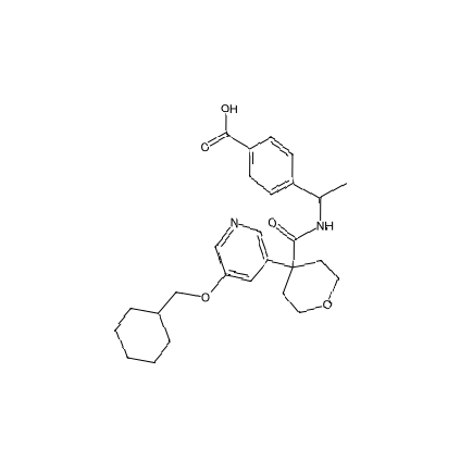 CC(NC(=O)C1(c2cncc(OCC3CCCCC3)c2)CCOCC1)c1ccc(C(=O)O)cc1